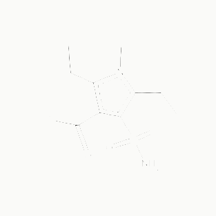 CCc1c(C(=O)O)c(S(N)(=O)=O)c(CC)n1C